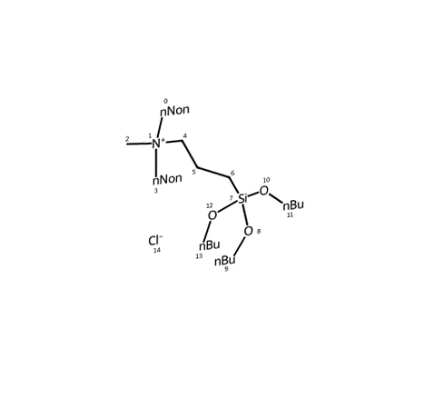 CCCCCCCCC[N+](C)(CCCCCCCCC)CCC[Si](OCCCC)(OCCCC)OCCCC.[Cl-]